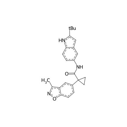 Cc1noc2ccc(C3(C(=O)Nc4ccc5[nH]c(C(C)(C)C)cc5c4)CC3)cc12